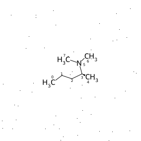 CCC[C@H](C)N(C)C